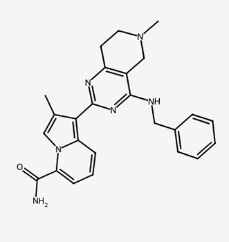 Cc1cn2c(C(N)=O)cccc2c1-c1nc2c(c(NCc3ccccc3)n1)CN(C)CC2